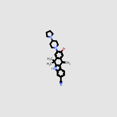 C=C1c2cc(Br)c(N3CCC(N4CCCC4)CC3)cc2C(C)(C)c2[nH]c3cc(C#N)ccc3c21